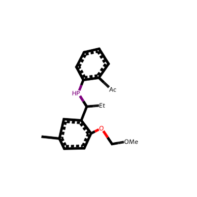 CCC(Pc1ccccc1C(C)=O)c1cc(C)ccc1OCOC